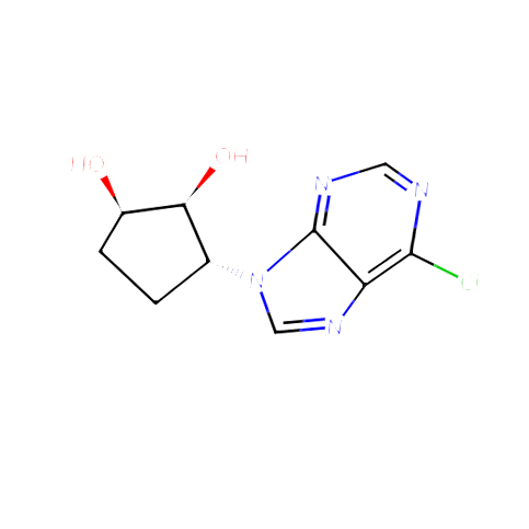 O[C@@H]1[C@H](O)CC[C@H]1n1cnc2c(Cl)ncnc21